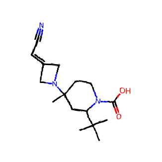 CC(C)(C)C1CC(C)(N2CC(=CC#N)C2)CCN1C(=O)O